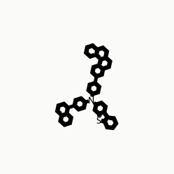 c1ccc2c(-c3ccc(N(c4ccc(-c5ccc6c(ccc7ccc8ccccc8c76)c5)cc4)c4ccc5c(c4)sc4ccccc45)cc3)cccc2c1